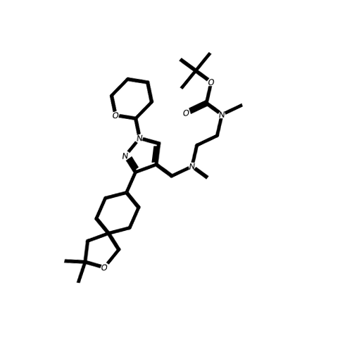 CN(CCN(C)C(=O)OC(C)(C)C)Cc1cn(C2CCCCO2)nc1C1CCC2(CC1)COC(C)(C)C2